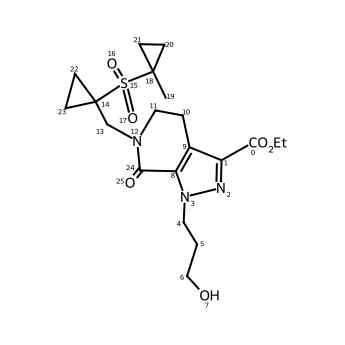 CCOC(=O)c1nn(CCCO)c2c1CCN(CC1(S(=O)(=O)C3(C)CC3)CC1)C2=O